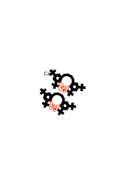 CC(C)(C)c1cc2c(c(C(C)(C)C)c1)OP(=O)([O-])Oc1c(cc(C(C)(C)C)cc1C(C)(C)C)CCCC2.CC(C)(C)c1cc2c(c(C(C)(C)C)c1)OP(=O)([O-])Oc1c(cc(C(C)(C)C)cc1C(C)(C)C)CCCC2.[Ca+2]